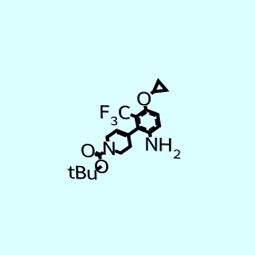 CC(C)(C)OC(=O)N1CC=C(c2c(N)ccc(OC3CC3)c2C(F)(F)F)CC1